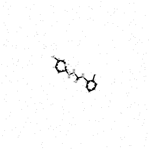 Cc1ccccc1NC(=O)NNc1ccc(F)cc1